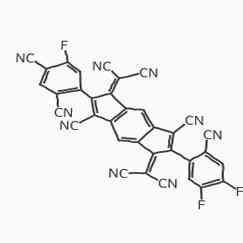 N#CC(C#N)=C1C(c2cc(F)c(F)cc2C#N)=C(C#N)c2cc3c(cc21)C(C#N)=C(c1cc(F)c(C#N)cc1C#N)C3=C(C#N)C#N